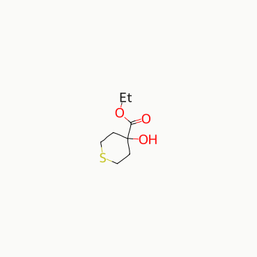 CCOC(=O)C1(O)CCSCC1